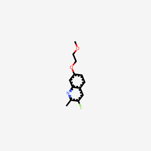 COCCOc1ccc2cc(F)c(C)nc2c1